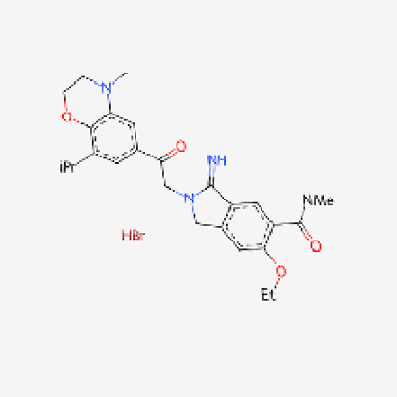 Br.CCOc1cc2c(cc1C(=O)NC)C(=N)N(CC(=O)c1cc(C(C)C)c3c(c1)N(C)CCO3)C2